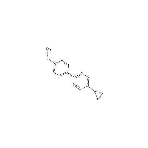 OCc1ccc(-c2ccc(C3CC3)cn2)cc1